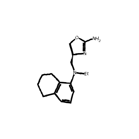 CCN(C[C@H]1COC(N)=N1)c1cccc2c1CCCC2